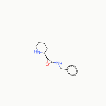 c1ccc(CN[C@H]2OC2[C@@H]2CCCCN2)cc1